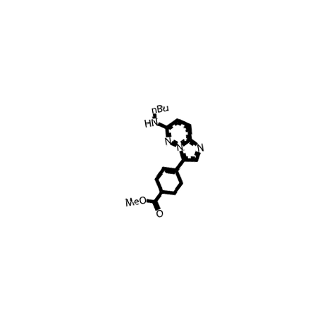 CCCCNc1ccc2ncc(C3=CCC(C(=O)OC)CC3)n2n1